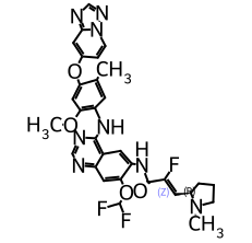 COc1cc(Oc2ccn3ncnc3c2)c(C)cc1Nc1ncnc2cc(OC(F)F)c(NC(=O)/C(F)=C/[C@H]3CCCN3C)cc12